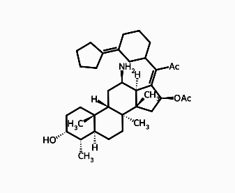 CC(=O)O[C@H]1C[C@@]2(C)[C@H](/C1=C(/C(C)=O)C1CCCC(=C3CCCC3)C1)[C@H](N)C[C@H]1[C@@]3(C)CC[C@@H](O)[C@@H](C)[C@@H]3CC[C@@]12C